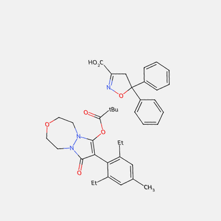 CCc1cc(C)cc(CC)c1-c1c(OC(=O)C(C)(C)C)n2n(c1=O)CCOCC2.O=C(O)C1=NOC(c2ccccc2)(c2ccccc2)C1